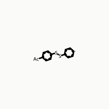 CC(=O)c1ccc(SSc2cc[c]cc2)cc1